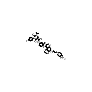 CC(C)n1cc(C(=O)Nc2ccc(Oc3ccnc4cc(OCCCN5CCC(C)(N)CC5)c5c(c34)OCCO5)c(F)c2)c(=O)n(-c2ccc(F)cc2)c1=O